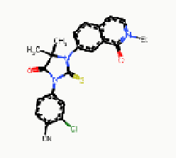 CCn1ccc2ccc(N3C(=S)N(c4ccc(C#N)c(Cl)c4)C(=O)C3(C)C)cc2c1=O